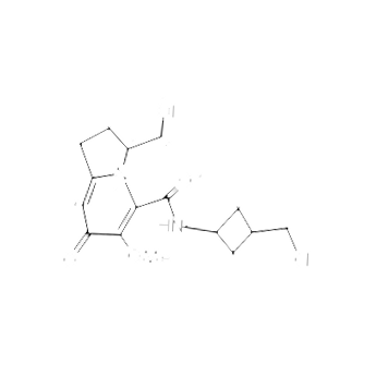 COc1c(C(=O)NC2CC(CCl)C2)n2c(cc1=O)CCC2CO